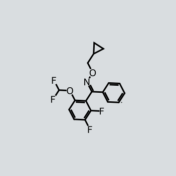 Fc1ccc(OC(F)F)c(C(=NOCC2CC2)c2c[c]ccc2)c1F